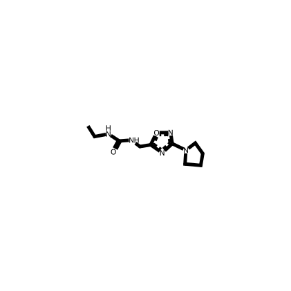 CCNC(=O)NCc1nc(N2CCCC2)no1